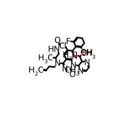 C=CCCN(/C(=N/C)c1cc(Cl)c(C2=C(O)CCC=C2F)nc1N(C=O)C1N=CC=NC1C(C)C)C(C)CNC=O